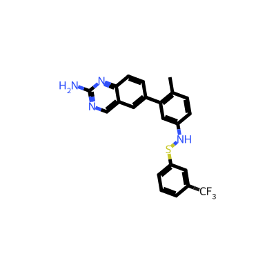 Cc1ccc(NSc2cccc(C(F)(F)F)c2)cc1-c1ccc2nc(N)ncc2c1